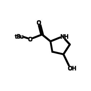 CC(C)(C)OC(=O)C1CC(O)CN1